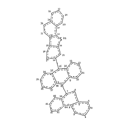 c1ccc2c(c1)cc(-c1c3ccccc3c(-c3ccc4c(c3)sc3c5ccccc5ccc43)c3ccccc13)c1ccccc12